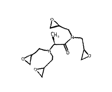 C[C@@H](C(=O)N(CC1CO1)CC1CO1)N(CC1CO1)CC1CO1